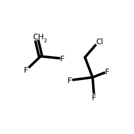 C=C(F)F.FC(F)(F)CCl